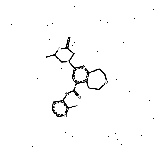 C=C1CN(c2cc(C(=O)Nc3cccnc3F)c3c(n2)CCOCC3)CC(C)O1